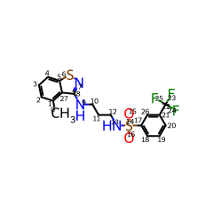 Cc1cccc2snc(NCCCNS(=O)(=O)c3cccc(C(F)(F)F)c3)c12